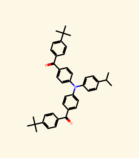 CC(C)c1ccc(N(c2ccc(C(=O)c3ccc(C(C)(C)C)cc3)cc2)c2ccc(C(=O)c3ccc(C(C)(C)C)cc3)cc2)cc1